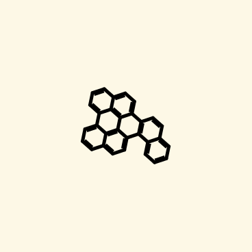 c1ccc2c(c1)ccc1c3ccc4cccc5c6cccc7ccc(c21)c(c76)c3c45